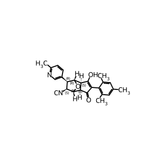 [C-]#[N+][C@@H]1[C@@H]2O[C@@H]([C@H]3C(O)=C(c4c(C)cc(C)cc4C)C(=O)[C@@H]23)[C@@H]1c1ccc(C)nc1